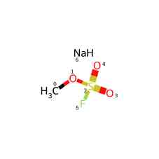 COS(=O)(=O)F.[NaH]